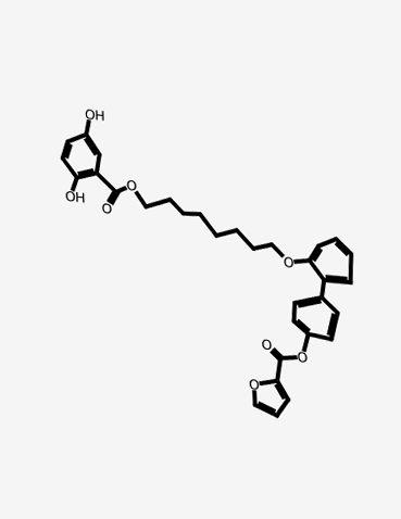 O=C(Oc1ccc(-c2ccccc2OCCCCCCCCOC(=O)c2cc(O)ccc2O)cc1)c1ccco1